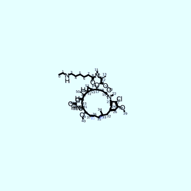 CCNCCCCCC(=O)N(C)[C@@H](C)C(=O)O[C@H]1CC(=O)N(C)c2cc(cc(OC)c2Cl)C/C(C)=C/C=C/[C@@H](OC)[C@@]2(O)C[C@H](OC(=O)N2)[C@@H](C)[C@@H]2C[C@@]12C